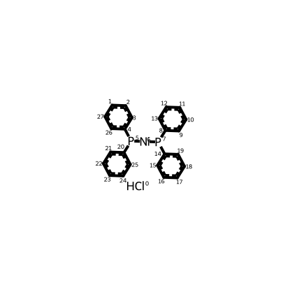 Cl.c1ccc([P]([Ni][P](c2ccccc2)c2ccccc2)c2ccccc2)cc1